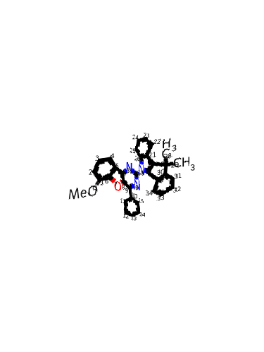 COc1cccc2c1oc1c(-c3ccccc3)nc(-n3c4c(c5ccccc53)C(C)(C)c3ccccc3-4)nc12